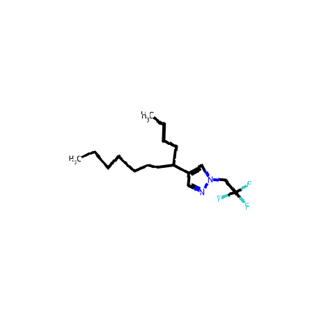 CCCCCCCC(CCCC)c1cnn(CC(F)(F)F)c1